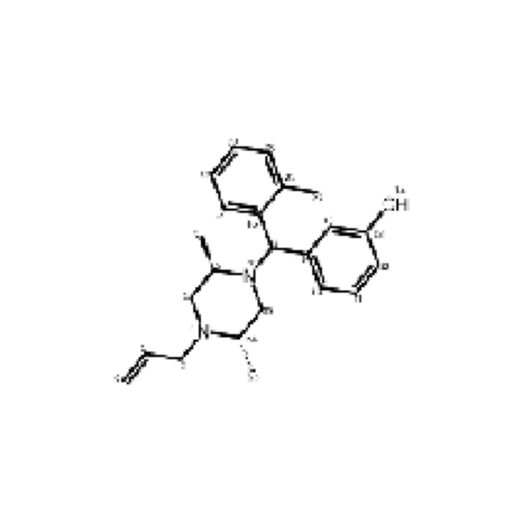 C=CCN1C[C@@H](C)N(C(c2cccc(O)c2)c2ccccc2C)C[C@@H]1C